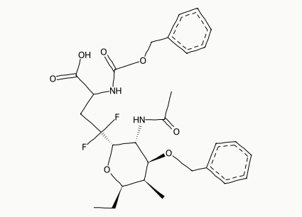 CC[C@H]1O[C@H](C(F)(F)CC(NC(=O)OCc2ccccc2)C(=O)O)[C@H](NC(C)=O)[C@@H](OCc2ccccc2)[C@H]1C